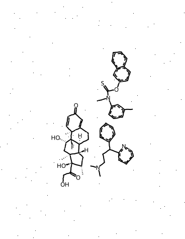 CN(C)CCC(c1ccccc1)c1ccccn1.C[C@H]1C[C@H]2[C@@H]3CCC4=CC(=O)C=C[C@]4(C)[C@@]3(F)[C@@H](O)C[C@]2(C)[C@@]1(O)C(=O)CO.Cc1cccc(N(C)C(=S)Oc2ccc3ccccc3c2)c1